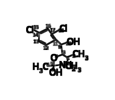 CC(C)C(OC(C)(N)O)C(O)c1ccc(Cl)cc1Cl